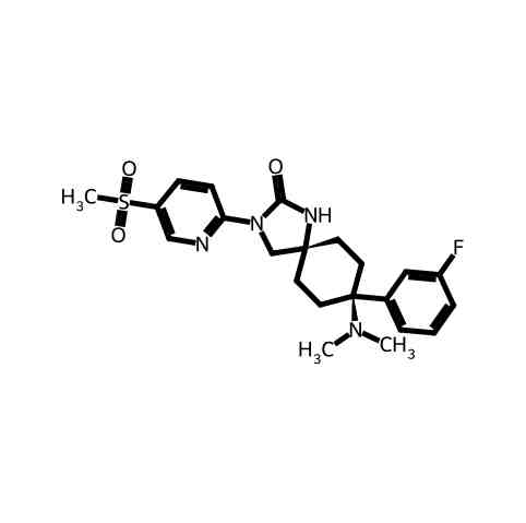 CN(C)[C@]1(c2cccc(F)c2)CC[C@@]2(CC1)CN(c1ccc(S(C)(=O)=O)cn1)C(=O)N2